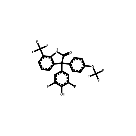 O=C1Nc2c(C(F)(F)F)cccc2C1(c1ccc(OC(F)(F)F)cc1)c1cc(F)c(O)c(F)c1